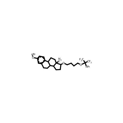 CCCOc1ccc2c(c1)CCC1C2CCC2(C)C(OCCCCOC(CCC)(C(F)(F)F)C(F)(F)F)CCC12